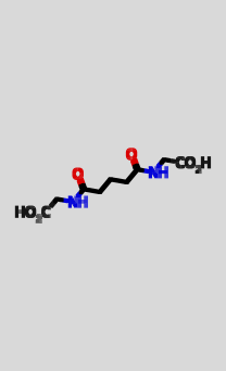 O=C(O)CNC(=O)CCCC(=O)NCC(=O)O